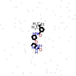 CCC(C)(C)c1cccc(C(=O)Nc2cccc(Oc3ccnc4[nH]c(=O)[nH]c34)c2)c1